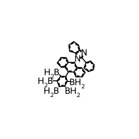 Bc1c(B)c(B)c(-c2c3ccccc3c(-n3c(-c4ccccc4)nc4ccccc43)c3ccccc23)c(B)c1B